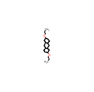 CCCOc1ccc2cc3cc(OCCC)ccc3cc2c1